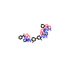 COC(=O)N[C@@H](C(=O)N1CCC[C@H]1C(=O)Nc1ccc(-c2ccc(NC(=O)[C@@H]3CCCN3C(=O)[C@H](C)c3ccccc3)c(C)c2)cc1C)c1ccccc1